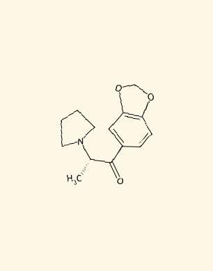 C[C@@H](C(=O)c1ccc2c(c1)OCO2)N1CCCC1